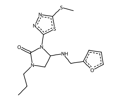 CCCN1CC(NCc2ccco2)N(c2nnc(SC)s2)C1=O